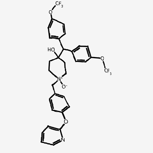 [O-][N+]1(Cc2ccc(Oc3ccccn3)cc2)CCC(O)(C(c2ccc(OC(F)(F)F)cc2)c2ccc(OC(F)(F)F)cc2)CC1